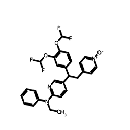 CCN(c1ccccc1)c1ccc(C(Cc2cc[n+]([O-])cc2)c2ccc(OC(F)F)c(OC(F)F)c2)cn1